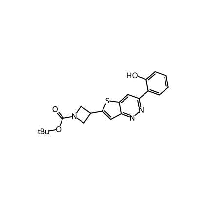 CC(C)(C)OC(=O)N1CC(c2cc3nnc(-c4ccccc4O)cc3s2)C1